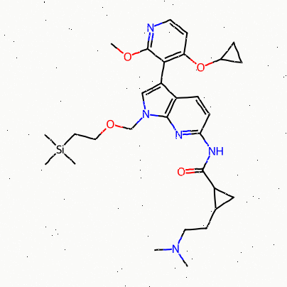 COc1nccc(OC2CC2)c1-c1cn(COCC[Si](C)(C)C)c2nc(NC(=O)C3CC3CCN(C)C)ccc12